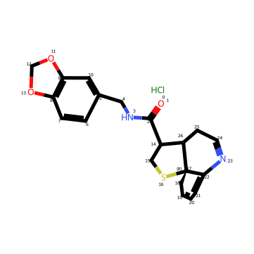 Cl.O=C(NCc1ccc2c(c1)OCO2)C1CS[C@@]23CC=CC=C2N=CCC13